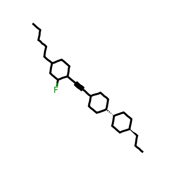 CCCCCC1CCC(C#CC2CCC([C@H]3CC[C@H](CCC)CC3)CC2)C(F)C1